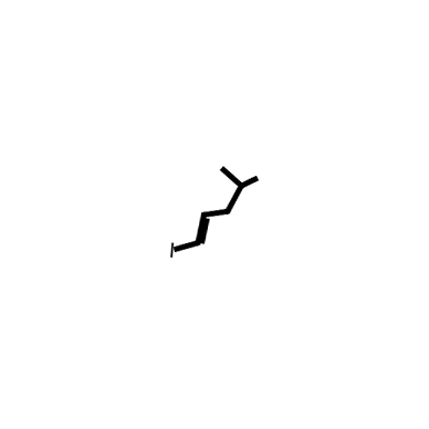 CC(C)CC=CI